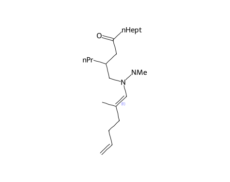 C=CCC/C(C)=C/N(CC(CCC)CC(=O)CCCCCCC)NC